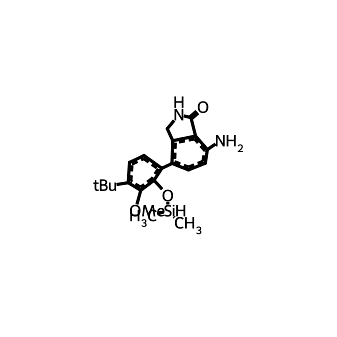 COc1c(C(C)(C)C)ccc(-c2ccc(N)c3c2CNC3=O)c1O[SiH](C)C